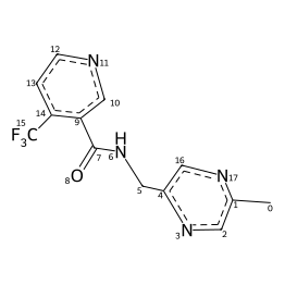 Cc1cnc(CNC(=O)c2cnccc2C(F)(F)F)cn1